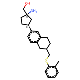 Cc1ccccc1SCC1CCc2cc([C@H]3CC[C@](N)(CO)C3)ccc2C1